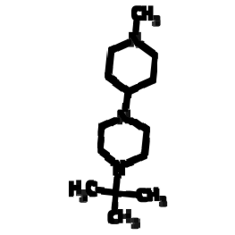 CN1CCC(N2CCN(C(C)(C)C)CC2)CC1